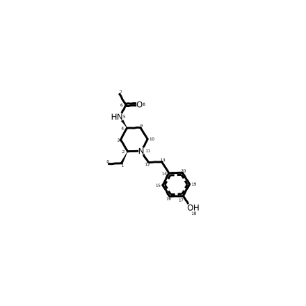 CC[C@H]1C[C@@H](NC(C)=O)CCN1CCc1ccc(O)cc1